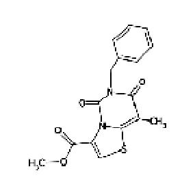 COC(=O)c1csc2c(C)c(=O)n(Cc3ccccc3)c(=O)n12